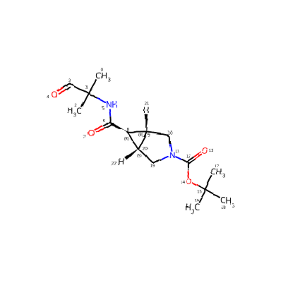 CC(C)(C=O)NC(=O)[C@H]1[C@@H]2CN(C(=O)OC(C)(C)C)C[C@@H]21